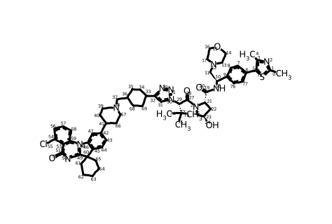 Cc1nc(C)c(-c2ccc([C@H](CN3CCOCC3)NC(=O)[C@@H]3C[C@@H](O)CN3C(=O)[C@@H](n3cc(C4CCC(CN5CCC(c6ccc7c(c6)-n6c(nc(=O)c8c(Cl)cccc86)C76CCCCC6)CC5)CC4)nn3)C(C)(C)C)cc2)s1